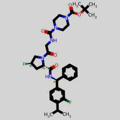 CC(C)c1ccc([C@@H](NC(=O)[C@@H]2C[C@@H](F)CN2C(=O)CNC(=O)N2CCN(C(=O)OC(C)(C)C)CC2)c2ccccc2)cc1F